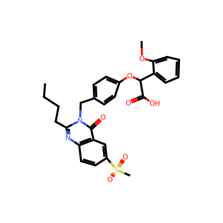 CCCCc1nc2ccc(S(C)(=O)=O)cc2c(=O)n1Cc1ccc(OC(C(=O)O)c2ccccc2OC)cc1